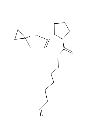 C=CCCCCCNC(=O)[C@@H]1C[C@@H](O)C[C@H]1C(=O)NC1(C(=O)OCC)CC1